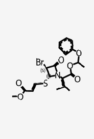 COC(=O)C=CS[C@@H]1[C@@H](Br)C(=O)N1C(C(=O)OC(C)Oc1ccccc1)=C(C)C